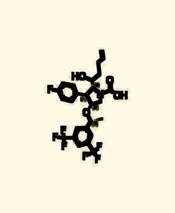 C=CCCC(O)[C@H]1[C@H](c2ccc(F)cc2)[C@@H](O[C@H](C)c2cc(C(F)(F)F)cc(C(F)(F)F)c2)CN1C(=O)O